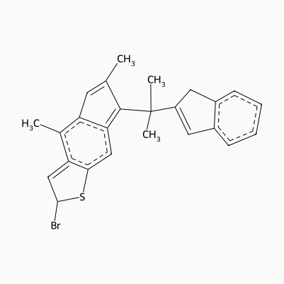 CC1=Cc2c(C)c3c(cc2=C1C(C)(C)C1=Cc2ccccc2C1)SC(Br)C=3